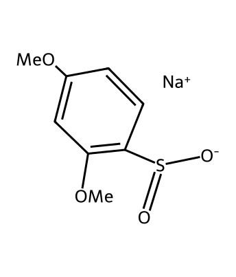 COc1ccc(S(=O)[O-])c(OC)c1.[Na+]